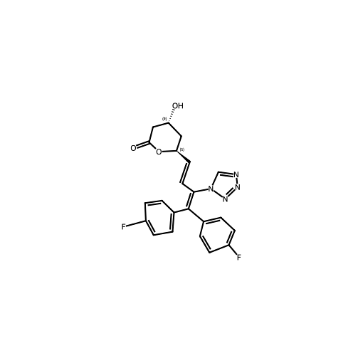 O=C1C[C@H](O)C[C@@H](C=CC(=C(c2ccc(F)cc2)c2ccc(F)cc2)n2cnnn2)O1